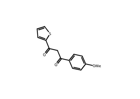 COc1ccc(C(=O)CC(=O)c2cccs2)cc1